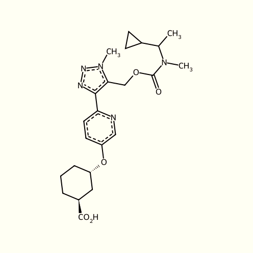 CC(C1CC1)N(C)C(=O)OCc1c(-c2ccc(O[C@H]3CCC[C@H](C(=O)O)C3)cn2)nnn1C